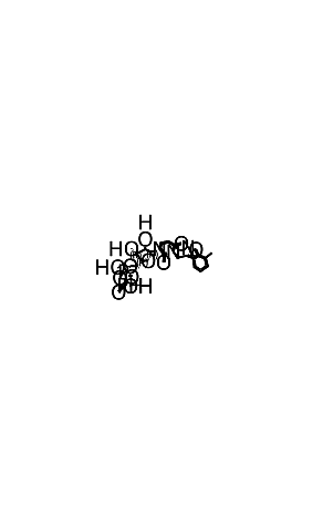 Cc1cccc2c(Cn3c(=O)ccn([C@@H]4O[C@H](COP(=O)(O)O[PH](=O)O)[C@H](O)C4O)c3=O)noc12